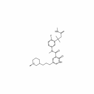 C=C(CC(C)(C)c1cc(N(C)C(=O)c2cc(CCCC3CCC[C@H](C)C3)c[nH]c2=O)ccc1F)NC